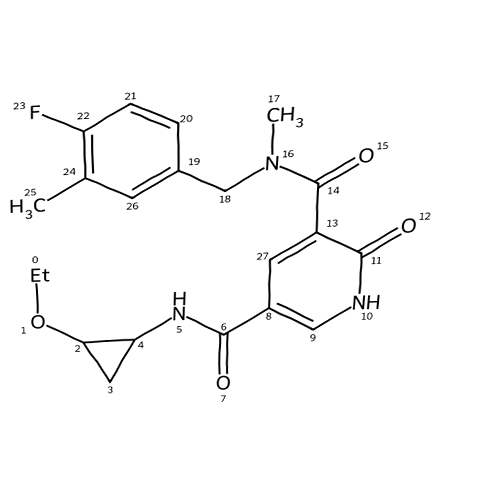 CCOC1CC1NC(=O)c1c[nH]c(=O)c(C(=O)N(C)Cc2ccc(F)c(C)c2)c1